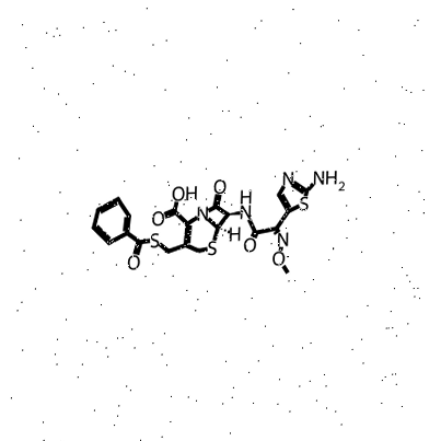 CO/N=C(\C(=O)N[C@@H]1C(=O)N2C(C(=O)O)=C(CSC(=O)c3ccccc3)CS[C@H]12)c1cnc(N)s1